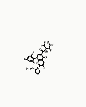 O=C(NC(C(F)F)C(F)C(F)F)c1cn(-c2c(F)cc(F)cc2F)c2nc(N3CCC[C@@H]3CO)c(F)cc2c1=O